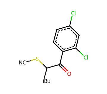 CCC(C)C(SC#N)C(=O)c1ccc(Cl)cc1Cl